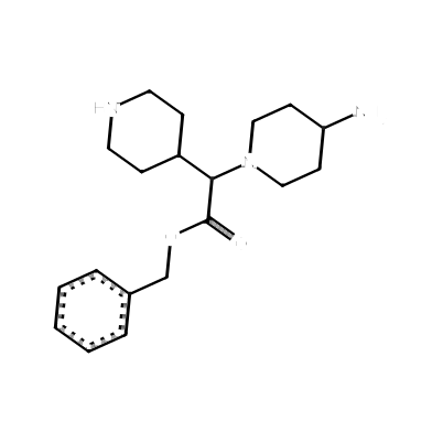 NC1CCN(C(C(=O)OCc2ccccc2)C2CCNCC2)CC1